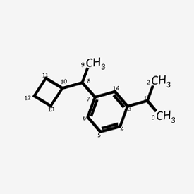 CC(C)c1cccc(C(C)C2CCC2)c1